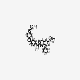 C[C@@H](O)c1cc2cnc(Nc3ccc(OC4CCN(CCO)CC4)cn3)nc2c(N2CCCCC2)n1